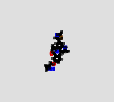 Cc1ccc2c(C3(NC(=O)c4cc(OC[C@@H]5CCN5)ccc4C)CC3)cc(-c3cnc(C)s3)cc2n1